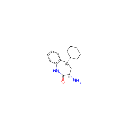 N[C@H]1C[C@@H](C2CCCCC2)c2ccccc2NC1=O